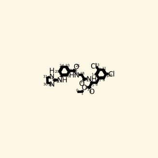 CCOC(=O)C(Cc1cc(Cl)cc(Cl)c1)NC(=O)CNC(=O)c1cccc(NC2=NCCN2)c1